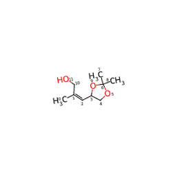 CC(=CC1COC(C)(C)O1)CO